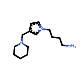 NCCCCn1ccc(CN2CCCCC2)c1